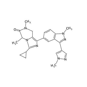 CC1C(=O)N(C)Cc2c(-c3ccc4c(c3)c(-c3cnn(C)c3)nn4C)nc(C3CC3)n21